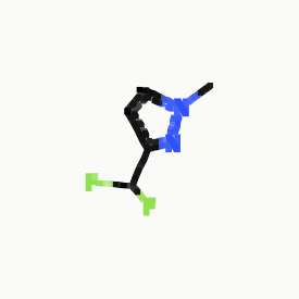 Cn1[c]cc(C(F)F)n1